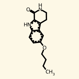 CCCCOc1ccc2[nH]c3c(c2c1)CCNC3=O